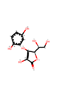 O=C1O[C@H]([C@@H](O)CO)C(O)=C1O.Oc1ccc(O)cc1